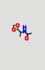 CC(=O)NC(C)C1OCO1